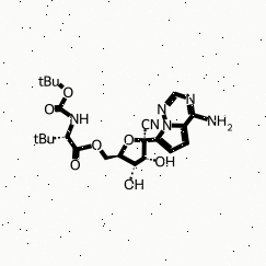 CC(C)(C)OC(=O)N[C@H](C(=O)OC[C@H]1O[C@@](C#N)(c2ccc3c(N)ncnn23)[C@H](O)[C@@H]1O)C(C)(C)C